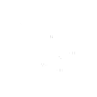 COc1cc(Br)cnc1N(C)C